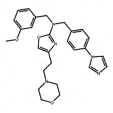 COc1cccc(CN(Cc2ccc(-n3ccnc3)cc2)c2nc(CCN3CCOCC3)co2)c1